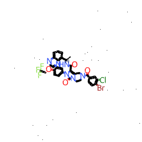 C[C@@H](NC(=O)c1c2n(c(=O)n1-c1ccc(OCC(F)(F)F)cc1)CCN(C(=O)c1ccc(Br)c(Cl)c1)C2)c1cccc2nccnc12